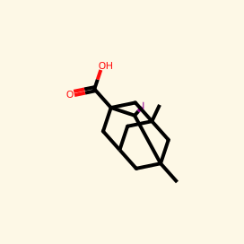 CC12CC3CC(C)(C1)C(I)C(C(=O)O)(C3)C2